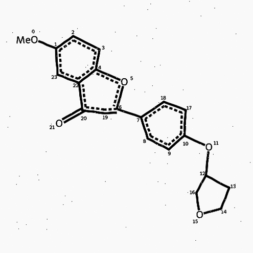 COc1ccc2oc(-c3ccc(OC4CCOC4)cc3)cc(=O)c2c1